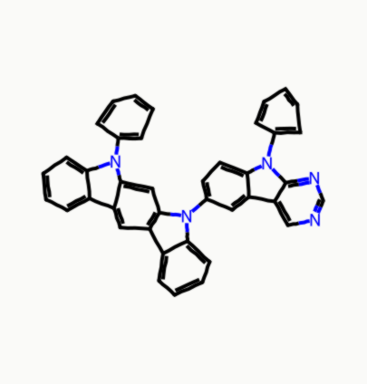 c1ccc(-n2c3ccccc3c3cc4c5ccccc5n(-c5ccc6c(c5)c5cncnc5n6-c5ccccc5)c4cc32)cc1